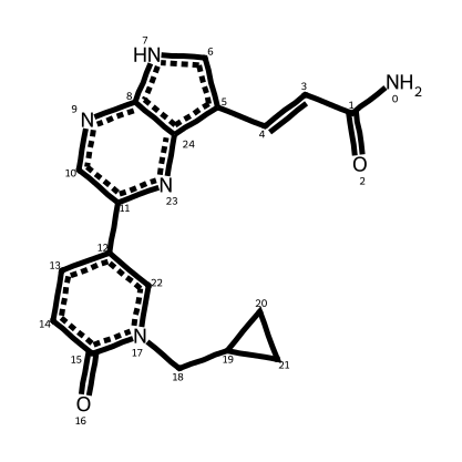 NC(=O)/C=C/c1c[nH]c2ncc(-c3ccc(=O)n(CC4CC4)c3)nc12